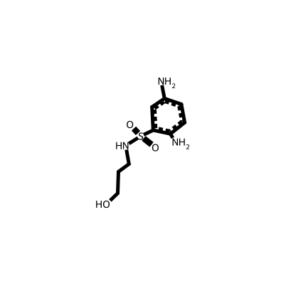 Nc1ccc(N)c(S(=O)(=O)NCCCO)c1